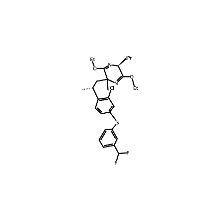 CCOC1=NC(C)(C[C@@H](C)c2ccc(Sc3cccc(C(F)F)c3)cc2Cl)C(OCC)=N[C@H]1C(C)C